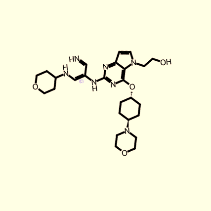 N=C/C(=C\NC1CCOCC1)Nc1nc(O[C@H]2CC[C@H](N3CCOCC3)CC2)c2c(ccn2CCO)n1